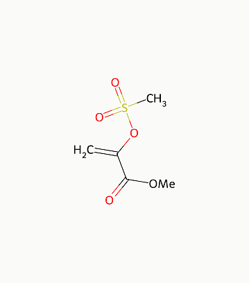 C=C(OS(C)(=O)=O)C(=O)OC